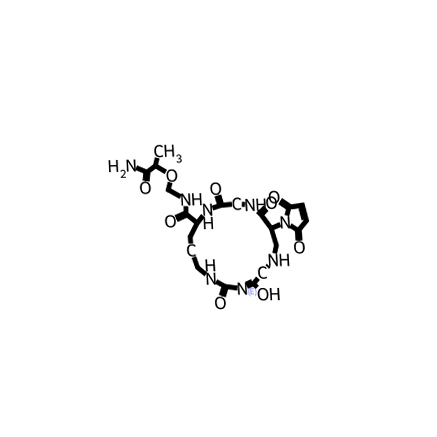 CC(OCNC(=O)C1CCCNC(=O)/N=C(/O)CNCC(N2C(=O)C=CC2=O)C(=O)NCC(=O)N1)C(N)=O